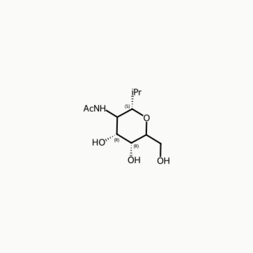 CC(=O)NC1[C@H](C(C)C)OC(CO)[C@H](O)[C@@H]1O